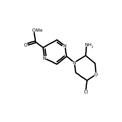 COC(=O)c1cnc(N2CC(Cl)OCC2N)cn1